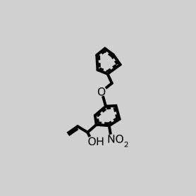 C=CC(O)c1cc(OCc2ccccc2)ccc1[N+](=O)[O-]